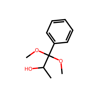 COC(OC)(c1ccccc1)C(C)O